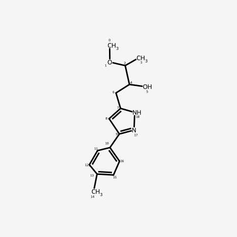 COC(C)C(O)Cc1cc(-c2c[c]c(C)cc2)n[nH]1